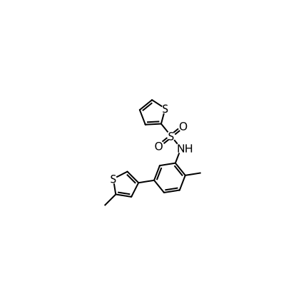 Cc1cc(-c2ccc(C)c(NS(=O)(=O)c3cccs3)c2)cs1